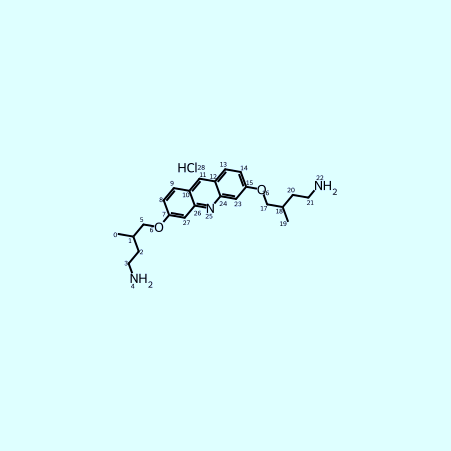 CC(CCN)COc1ccc2cc3ccc(OCC(C)CCN)cc3nc2c1.Cl